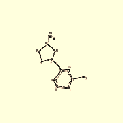 Cc1cccc(N2CC[C@H](N)C2)c1